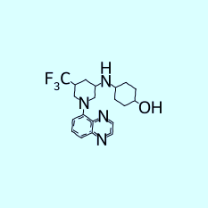 OC1CCC(NC2CC(C(F)(F)F)CN(c3cccc4nccnc34)C2)CC1